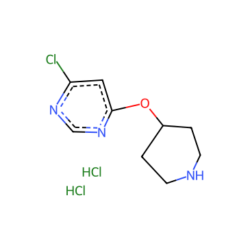 Cl.Cl.Clc1cc(OC2CCNCC2)ncn1